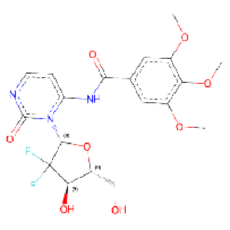 COc1cc(C(=O)Nc2ccnc(=O)n2[C@@H]2O[C@H](CO)[C@@H](O)C2(F)F)cc(OC)c1OC